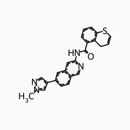 Cn1cc(-c2ccc3cnc(NC(=O)c4cccc5c4CC=CS5)cc3c2)cn1